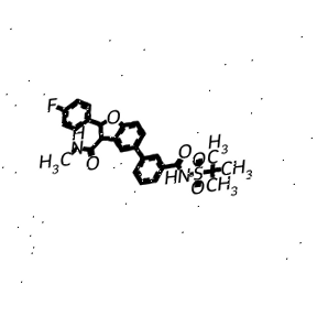 CNC(=O)C1c2cc(-c3cccc(C(=O)NS(=O)(=O)C(C)(C)C)c3)ccc2OC1c1ccc(F)cc1